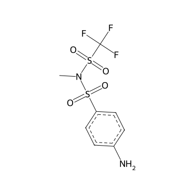 CN(S(=O)(=O)c1ccc(N)cc1)S(=O)(=O)C(F)(F)F